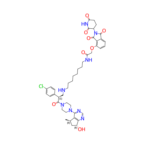 C[C@@H]1C[C@@H](O)c2ncnc(N3CCN(C(=O)[C@H](CNCCCCCCCCNC(=O)COc4cccc5c4C(=O)N(C4CCC(=O)NC4=O)C5=O)c4ccc(Cl)cc4)CC3)c21